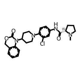 CN1CCC[C@H]1C(=O)Nc1ccc(N2CCC(N3C(=O)OCc4ccccc43)CC2)c(Cl)c1